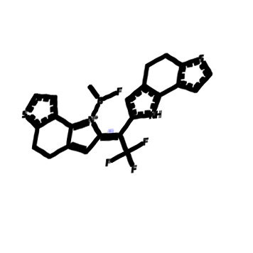 CB(F)[N+]1=C2C(=C/C1=C(/c1cc3c([nH]1)-c1ccsc1CC3)C(F)(F)F)CCc1sccc12